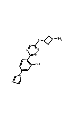 N[C@H]1C[C@@H](Oc2cnc(-c3ccc(-n4ccnc4)cc3O)nn2)C1